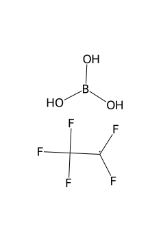 F[C](F)C(F)(F)F.OB(O)O